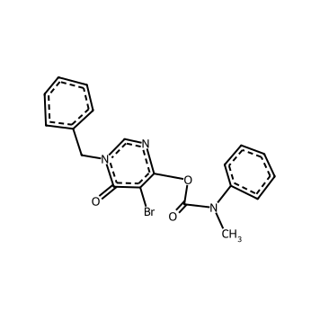 CN(C(=O)Oc1ncn(Cc2ccccc2)c(=O)c1Br)c1ccccc1